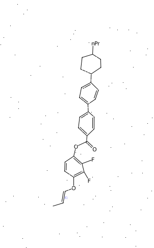 C/C=C/Oc1ccc(OC(=O)c2ccc(-c3ccc(C4CCC(CCC)CC4)cc3)cc2)c(F)c1F